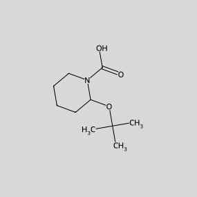 CC(C)(C)OC1CCCCN1C(=O)O